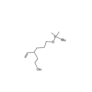 C=CC(CCO)CCCO[Si](C)(C)C(C)(C)C